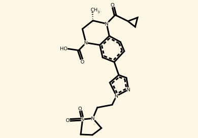 C[C@H]1CN(C(=O)O)c2cc(-c3cnn(CCN4CCCS4(=O)=O)c3)ccc2N1C(=O)C1CC1